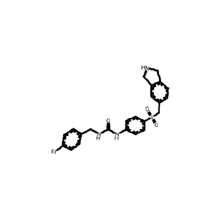 CCc1ccc(CNC(=O)Nc2ccc(S(=O)(=O)Cc3ccc4c(c3)CNC4)cc2)cc1